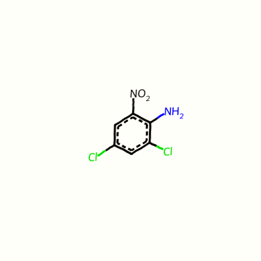 Nc1c(Cl)cc(Cl)cc1[N+](=O)[O-]